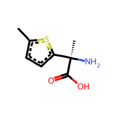 Cc1ccc([C@@](C)(N)C(=O)O)s1